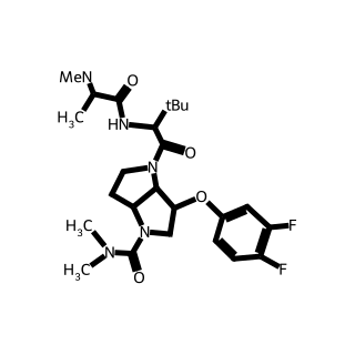 CNC(C)C(=O)NC(C(=O)N1CCC2C1C(Oc1ccc(F)c(F)c1)CN2C(=O)N(C)C)C(C)(C)C